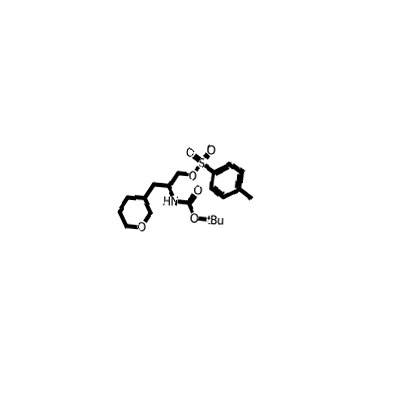 Cc1ccc(S(=O)(=O)OCC(CC2CCCOC2)NC(=O)OC(C)(C)C)cc1